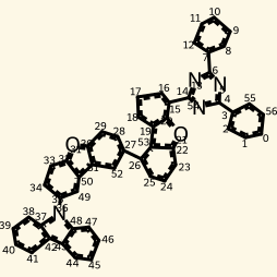 c1ccc(-c2nc(-c3ccccc3)nc(-c3cccc4c3oc3cccc(-c5ccc6oc7ccc(-n8c9ccccc9c9ccccc98)cc7c6c5)c34)n2)cc1